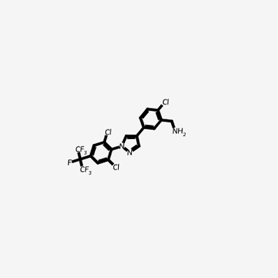 NCc1cc(-c2cnn(-c3c(Cl)cc(C(F)(C(F)(F)F)C(F)(F)F)cc3Cl)c2)ccc1Cl